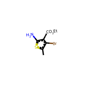 CCOC(=O)c1c(N)sc(C)c1Br